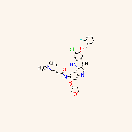 CN(C)CC=CC(=O)Nc1cc2c(Nc3ccc(OCc4ccccc4F)c(Cl)c3)c(C#N)cnc2cc1OC1CCOC1